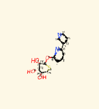 O[C@@H]1[C@@H](O)[C@@H](Oc2cccc(-c3cccnc3)n2)SC[C@H]1O